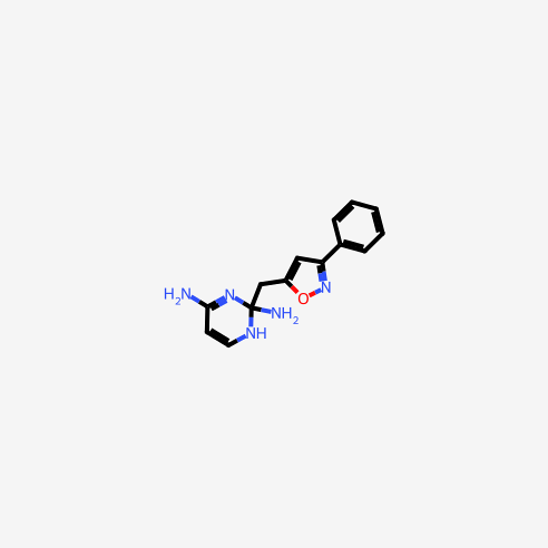 NC1=NC(N)(Cc2cc(-c3ccccc3)no2)NC=C1